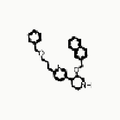 c1ccc(COCCCc2ccc(C3CCNCC3OCc3ccc4ccccc4c3)cn2)cc1